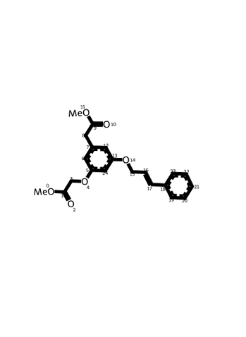 COC(=O)COc1cc(CC(=O)OC)cc(OC/C=C/c2ccccc2)c1